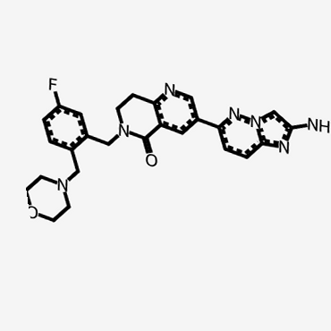 CC(=O)Nc1cn2nc(-c3cnc4c(c3)C(=O)N(Cc3cc(F)ccc3CN3CCOCC3)CC4)ccc2n1